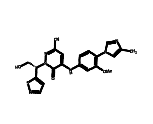 COc1cc(Nc2cc(C#N)nn([C@@H](CO)c3ccns3)c2=O)ccc1-n1cnc(C)c1